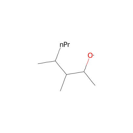 CCCC(C)C(C)C(C)[O]